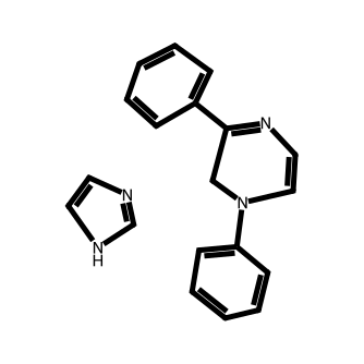 C1=CN(c2ccccc2)CC(c2ccccc2)=N1.c1c[nH]cn1